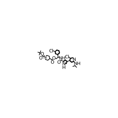 CC(C)Nc1cc(-c2c[nH]c(C(=O)NC(COC(=O)C3CCN(C(=O)OC(C)(C)C)CC3)c3cccc(Cl)c3)c2)c(Cl)cn1